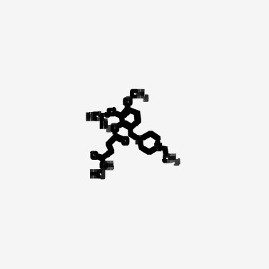 CCN1CCN(Cc2ccc(OC)c(OC)c2OC(=O)CCC(=O)O)CC1.Cl.Cl